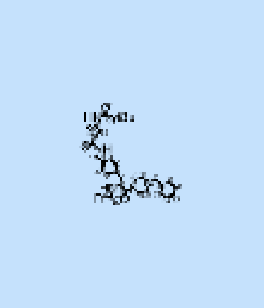 CCC(=O)NC(Cc1ccc(CNC(=O)C2CC(NC(=O)OC(C)(C)C)S2)cc1)C(=O)N1CCN(Cc2ccccc2)CC1